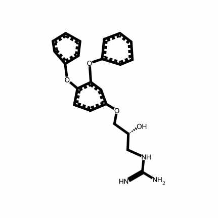 N=C(N)NC[C@@H](O)COc1ccc(Oc2ccccc2)c(Oc2ccccc2)c1